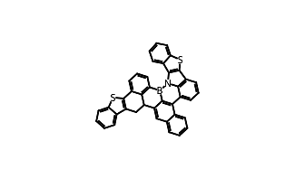 c1cc2c3c(c1)-c1sc4ccccc4c1CC3c1cc3ccccc3c3c1B2n1c2c-3cccc2c2sc3ccccc3c21